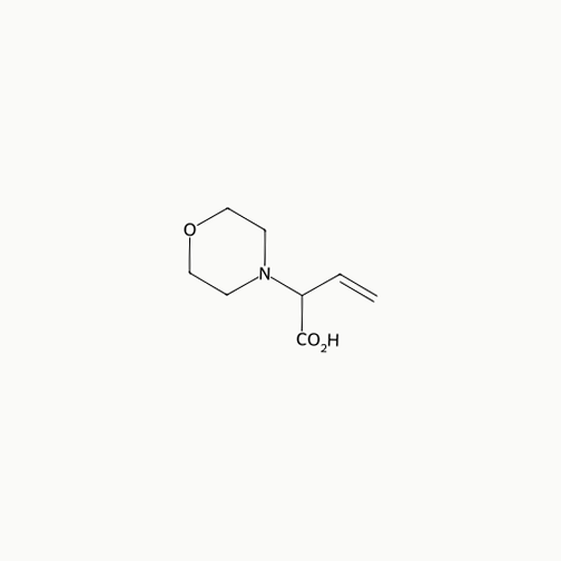 C=CC(C(=O)O)N1CCOCC1